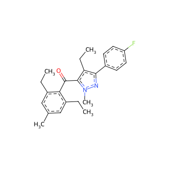 CCc1cc(C)cc(CC)c1C(=O)c1c(CC)c(-c2ccc(F)cc2)nn1C